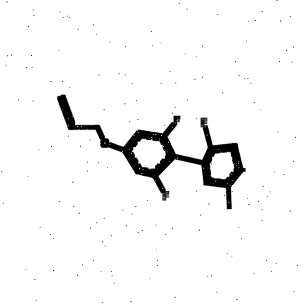 C=CCOc1cc(F)c(-c2cc(C)[c]cc2F)c(F)c1